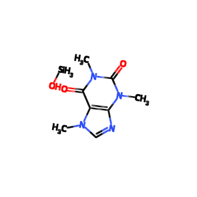 Cn1c(=O)c2c(ncn2C)n(C)c1=O.O[SiH3]